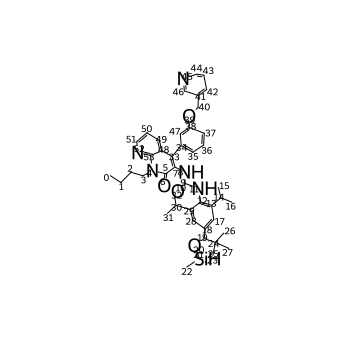 CCCCn1c(=O)c(NC(=O)Nc2c(C(C)C)cc(C(O[SiH](C)C)C(C)(C)C)cc2C(C)C)c(-c2cccc(OCc3cccnc3)c2)c2cccnc21